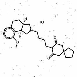 COc1cccc2c1[C@@H]1CN(CCCCN3C(=O)CC4(CCCC4)CC3=O)C[C@@H]1CC2.Cl